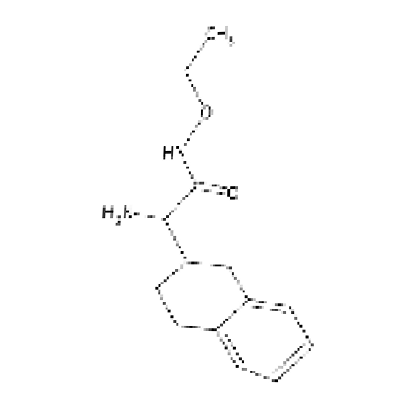 CCONC(=O)C(N)C1CCc2ccccc2C1